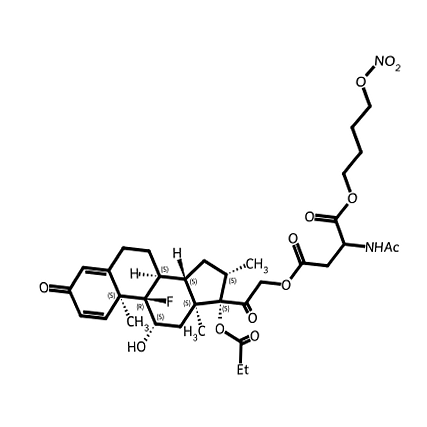 CCC(=O)O[C@@]1(C(=O)COC(=O)CC(NC(C)=O)C(=O)OCCCCO[N+](=O)[O-])[C@@H](C)C[C@H]2[C@@H]3CCC4=CC(=O)C=C[C@]4(C)[C@@]3(F)[C@@H](O)C[C@@]21C